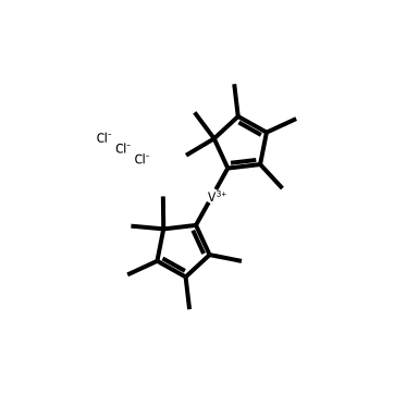 CC1=C(C)C(C)(C)[C]([V+3][C]2=C(C)C(C)=C(C)C2(C)C)=C1C.[Cl-].[Cl-].[Cl-]